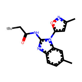 Cc1ccc2nc(NC(=O)CC(C)(C)C)n(-c3cc(C)no3)c2c1